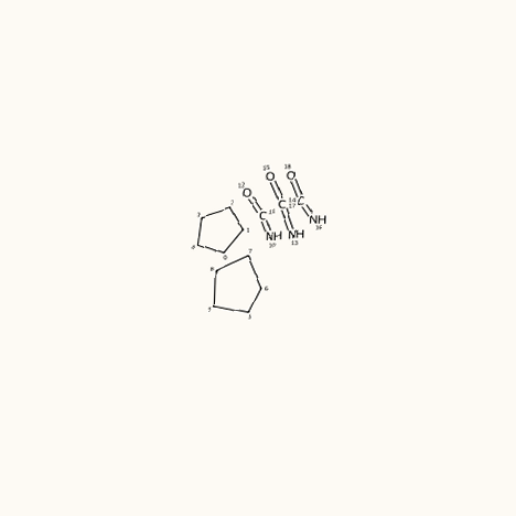 C1CCCC1.C1CCCC1.N=C=O.N=C=O.N=C=O